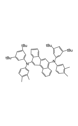 Cc1ccc(N(c2cc(C(C)(C)C)cc(C(C)(C)C)c2)c2cc3c4ccccc4c(N(c4cc(C(C)(C)C)cc(C(C)(C)C)c4)c4ccc(C)c(C)c4)cc3c3ccccc23)cc1C